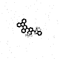 C=Cc1c(-c2cc3c4ccccc4c4ccccc4c3c3ccccc23)ccc(-c2nc3ccccc3n2C)c1C=C